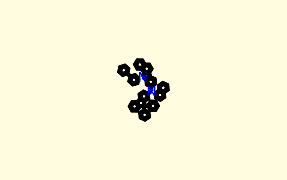 c1ccc(-c2cccc(-n3c4cc(N(c5ccc6c(c5)C(c5ccccc5)(c5ccccc5)c5ccccc5-6)c5cccc6ccccc56)ccc4c4ccc5ccccc5c43)c2)cc1